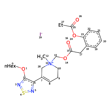 CCCCCCOc1nsnc1C1=CCC[N+](C)(COC(=O)Cc2ccccc2OC(=O)CC)C1.[I-]